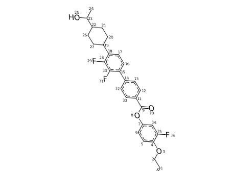 C=CCOc1ccc(OC(=O)c2ccc(-c3ccc(C4CCC(C(C)O)CC4)c(F)c3F)cc2)cc1F